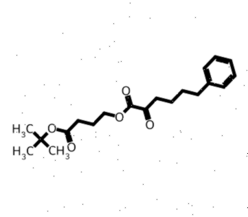 CC(C)(C)OC(=O)CCCOC(=O)C(=O)CCCCc1ccccc1